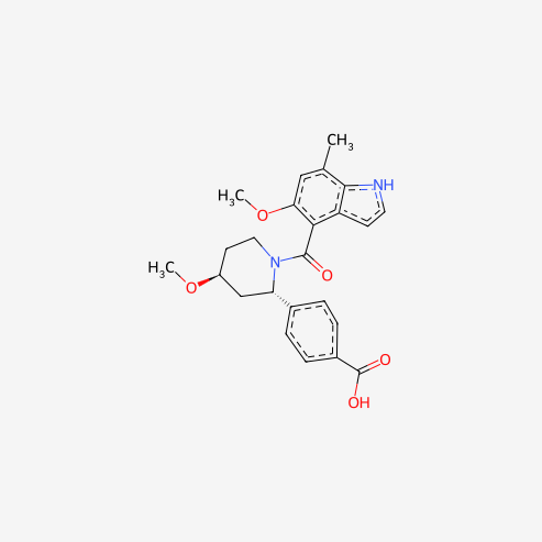 COc1cc(C)c2[nH]ccc2c1C(=O)N1CC[C@H](OC)C[C@H]1c1ccc(C(=O)O)cc1